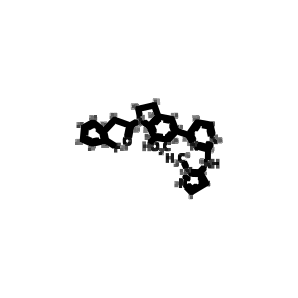 Cn1nccc1Nc1nccc(-c2cc3c(c(C(=O)O)c2)N(C(=O)Cc2ccccc2F)CC3)n1